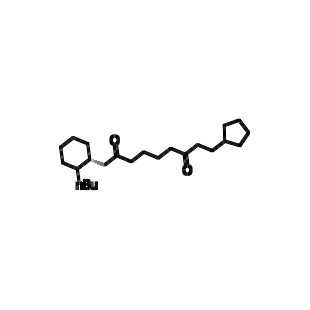 CCCCC1CCCC[C@@H]1CC(=O)CCCCC(=O)CCC1CCCC1